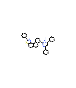 C1=C(c2ccccc2)N=C(c2cccc3c2ccc2ccc4sc(-c5ccccc5)nc4c23)NC1c1ccccc1